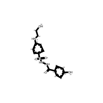 O=C(NNS(=O)(=O)c1ccc(NCCO)cc1)c1ccc(O)cc1